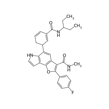 CCC(CC)NC(=O)C1=CC(c2cc3c(C(=O)NC)c(-c4ccc(F)cc4)oc3c3cc[nH]c23)CC=C1